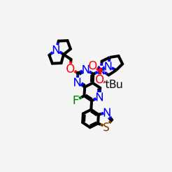 CC(C)(C)OC(=O)N1C2CCC1CN(c1nc(OCC34CCCN3CCC4)nc3c(F)c(-c4cccc5scnc45)ncc13)C2